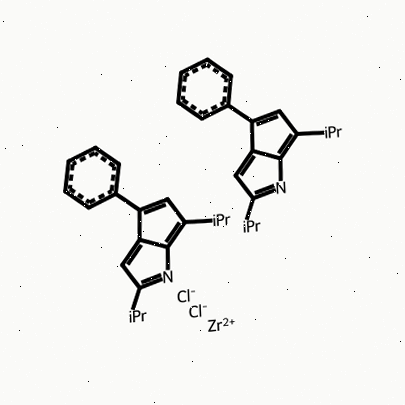 CC(C)C1=NC2=C(C(C)C)C=C(c3ccccc3)C2=C1.CC(C)C1=NC2=C(C(C)C)C=C(c3ccccc3)C2=C1.[Cl-].[Cl-].[Zr+2]